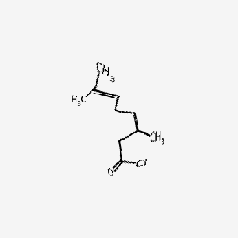 CC(C)=CCCC(C)CC(=O)Cl